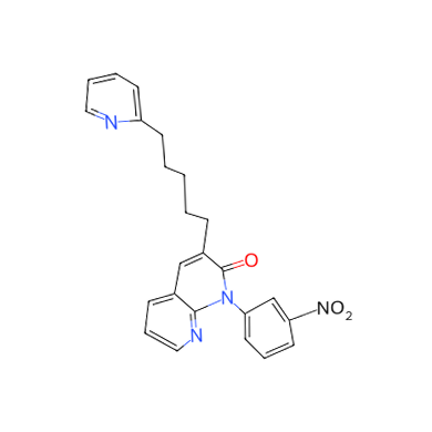 O=c1c(CCCCCc2ccccn2)cc2cccnc2n1-c1cccc([N+](=O)[O-])c1